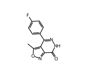 Cc1onc2c(=O)[nH]nc(-c3ccc(F)cc3)c12